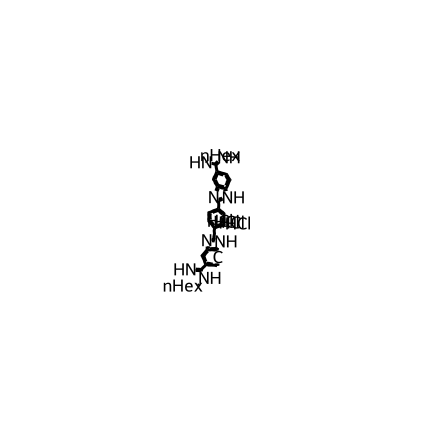 CCCCCCNC(=N)c1ccc2[nH]c(-c3ccc(-c4nc5cc(C(=N)NCCCCCC)ccc5[nH]4)cc3)nc2c1.Cl.Cl.Cl.Cl